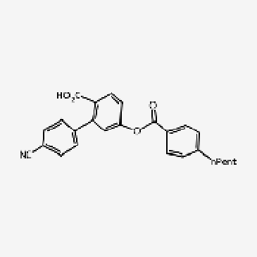 CCCCCc1ccc(C(=O)Oc2ccc(C(=O)O)c(-c3ccc(C#N)cc3)c2)cc1